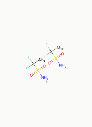 NS(=O)(=O)C(F)(F)C(F)(F)F.NS(=O)(=O)C(F)(F)C(F)(F)F.[Li]